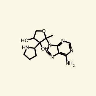 CC1(n2cnc3c(N)ncnc32)OCC(O)C1(O)C1CCCN1